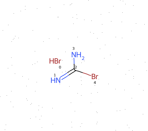 Br.N=C(N)Br